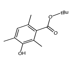 Cc1cc(C)c(C(=O)OC(C)(C)C)c(C)c1O